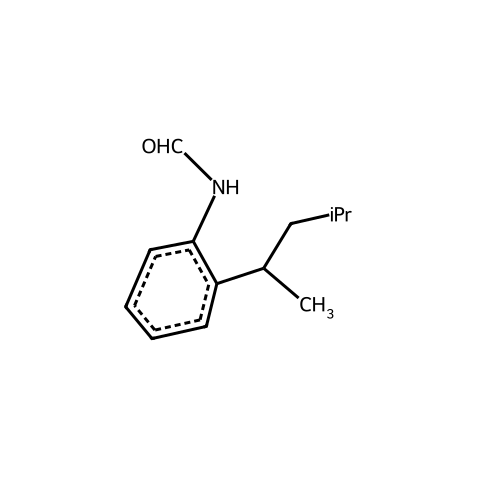 CC(C)CC(C)c1ccccc1NC=O